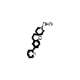 O=CN1CCC2(CCc3cc(-c4ccccn4)ccc3O2)CC1